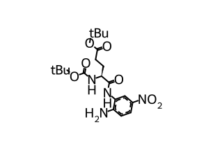 CC(C)(C)OC(=O)CC[C@H](NC(=O)OC(C)(C)C)C(=O)Nc1cc([N+](=O)[O-])ccc1N